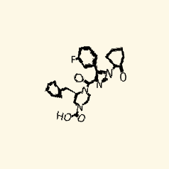 O=C1CCCCC1n1cnc(C(=O)N2CCN(C(=O)O)C[C@H]2Cc2ccccc2)c1-c1cccc(F)c1